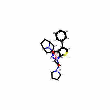 CC(=O)n1nc(N2C3CCC2CC(OCCN2CCCC2)C3)c2c(-c3ccccc3)csc21